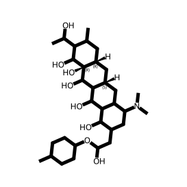 CC1CCC(OC(O)CC2CC(N(C)C)C3C[C@H]4C[C@H]5CC(C)C(C(C)O)C(O)[C@@]5(O)C(O)C4C(O)C3C2O)CC1